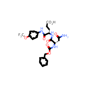 NC(=O)C[C@H](NC(=O)OCc1ccccc1)C(=O)N[C@@H](CCC(=O)O)C(=O)Nc1ccc(OC(F)(F)F)cc1